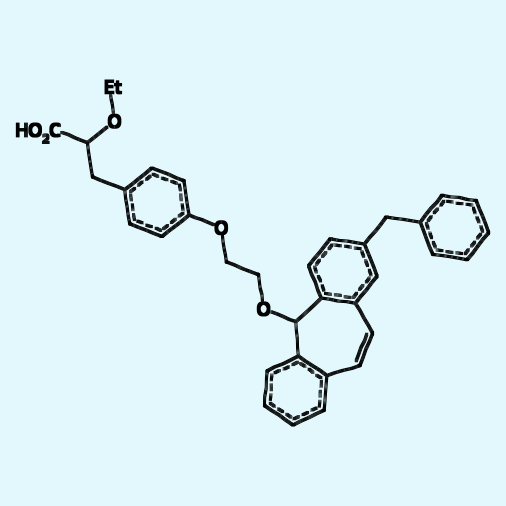 CCOC(Cc1ccc(OCCOC2c3ccccc3C=Cc3cc(Cc4ccccc4)ccc32)cc1)C(=O)O